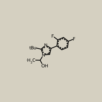 [CH2]C(O)n1cc(-c2ccc(F)cc2F)nc1C(C)(C)C